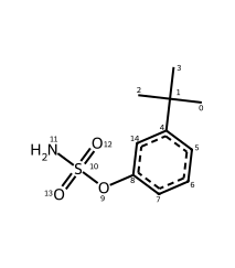 CC(C)(C)c1cccc(OS(N)(=O)=O)c1